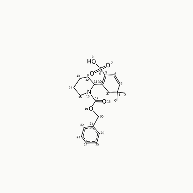 CC1(C)C=CC(S(=O)(=O)O)=C(C2CCCCN2C(=O)OCc2ccccc2)C1